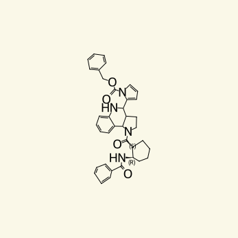 O=C(N[C@@H]1CCCC[C@@H]1C(=O)N1CCC2C(c3cccn3C(=O)OCc3ccccc3)Nc3ccccc3C21)c1ccccc1